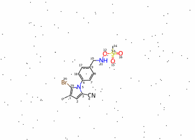 Cc1cc(C#N)n(-c2ccc(CNOS(C)(=O)=O)cc2)c1Br